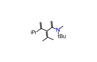 C=C(C(C(=C)N(C)C(C)(C)C)=C(C)C)C(C)C